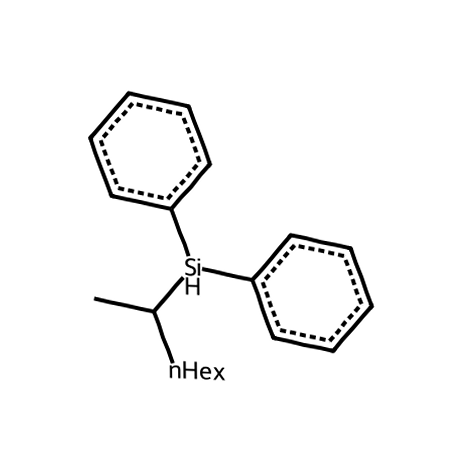 CCCCCCC(C)[SiH](c1ccccc1)c1ccccc1